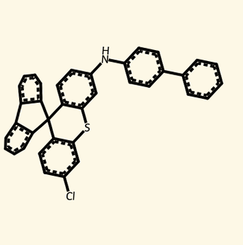 Clc1ccc2c(c1)Sc1cc(Nc3ccc(-c4ccccc4)cc3)ccc1C21c2ccccc2-c2ccccc21